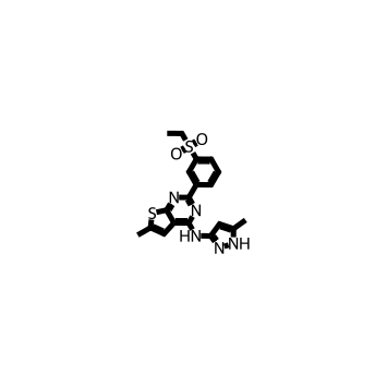 CCS(=O)(=O)c1cccc(-c2nc(Nc3cc(C)[nH]n3)c3cc(C)sc3n2)c1